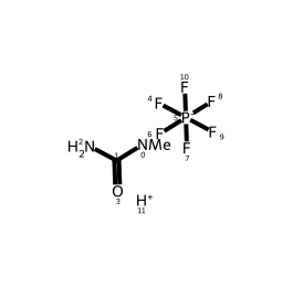 CNC(N)=O.F[P-](F)(F)(F)(F)F.[H+]